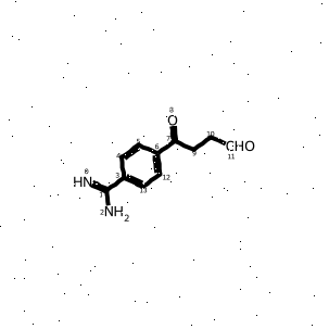 N=C(N)c1ccc(C(=O)CCC=O)cc1